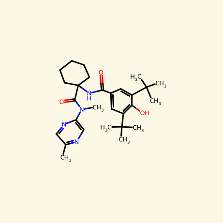 Cc1cnc(N(C)C(=O)C2(NC(=O)c3cc(C(C)(C)C)c(O)c(C(C)(C)C)c3)CCCCC2)cn1